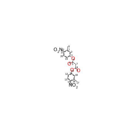 Cc1cc(OC(=O)CC(=O)Oc2ccc([N+](=O)[O-])c(C)c2)ccc1[N+](=O)[O-]